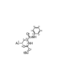 CC(=O)CC[C@H](NC(=O)OC(C)(C)C)C(=O)Nc1ccccc1